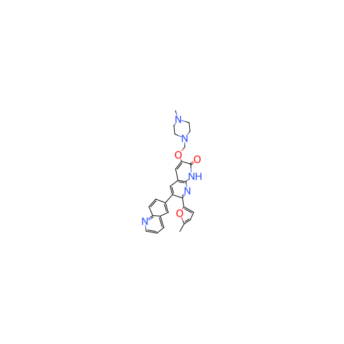 Cc1ccc(-c2nc3[nH]c(=O)c(OCN4CCN(C)CC4)cc3cc2-c2ccc3ncccc3c2)o1